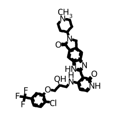 CN1CCC(N2Cc3cc4nc(-c5c(NC[C@@H](O)COc6cc(C(F)(F)F)ccc6Cl)cc[nH]c5=O)[nH]c4cc3C2=O)CC1